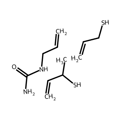 C=CC(C)S.C=CCNC(N)=O.C=CCS